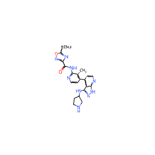 Cc1c(-c2ccnc3[nH]nc(NC4CCNC4)c23)ccnc1NC(=O)c1noc(C(C)(C)C)n1